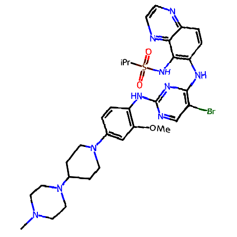 COc1cc(N2CCC(N3CCN(C)CC3)CC2)ccc1Nc1ncc(Br)c(Nc2ccc3nccnc3c2NS(=O)(=O)C(C)C)n1